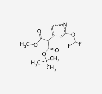 COC(=O)C(C(=O)OC(C)(C)C)c1ccnc(OC(F)F)c1